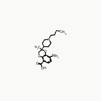 CCCCN1CCC(C2(C)COc3c(C(=O)O)ccc(N)c3O2)CC1